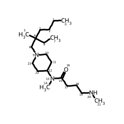 CCCCC(C)(CC)CN1CCC(N(C)C(=O)CCCNC)CC1